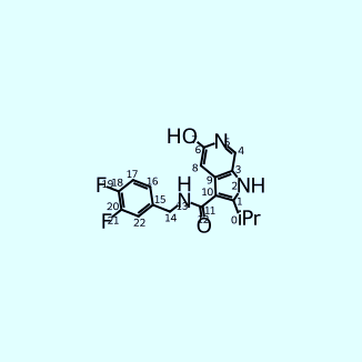 CC(C)c1[nH]c2cnc(O)cc2c1C(=O)NCc1ccc(F)c(F)c1